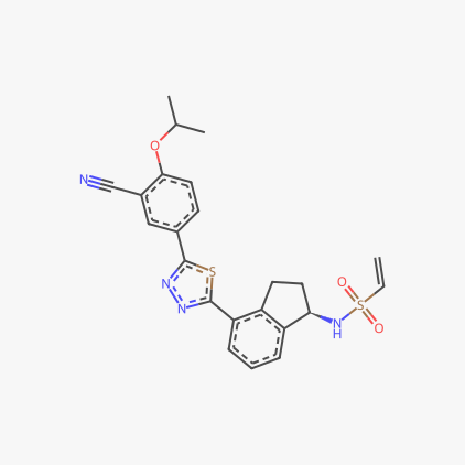 C=CS(=O)(=O)N[C@@H]1CCc2c(-c3nnc(-c4ccc(OC(C)C)c(C#N)c4)s3)cccc21